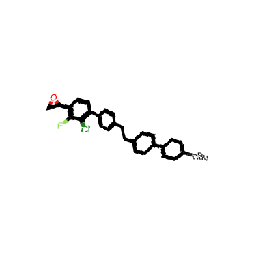 CCCCC1CCC(C2CCC(CCc3ccc(-c4ccc(C5CO5)c(F)c4Cl)cc3)CC2)CC1